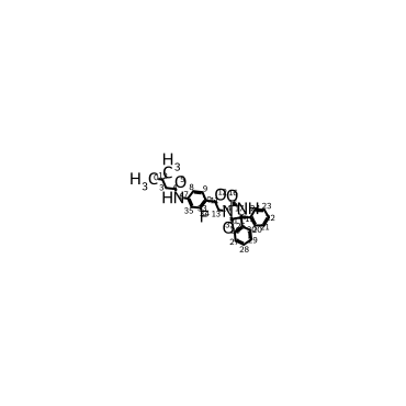 CC(C)CC(=O)Nc1ccc(C(=O)CN2C(=O)NC(c3ccccc3)(c3ccccc3)C2=O)c(F)c1